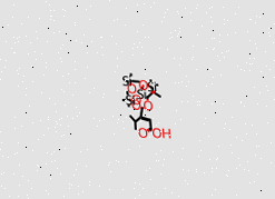 CCC(OC(=O)C(=CC(=O)O)C(C)C)[Si](O[Si](C)(C)C)(O[Si](C)(C)C)O[Si](C)(C)C